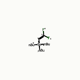 CCC[CH2][Sn]([CH]=C(F)F)([CH2]CCC)[CH2]CCC